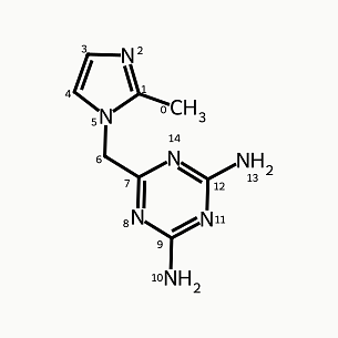 Cc1nccn1Cc1nc(N)nc(N)n1